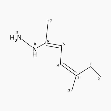 CC/C(C)=C\C=C(\C)NN